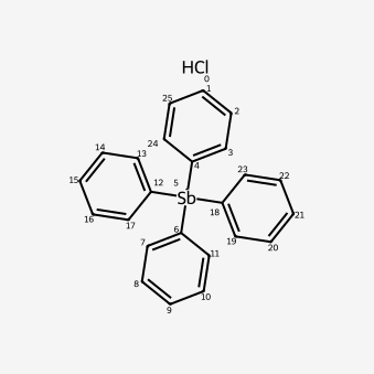 Cl.c1cc[c]([Sb]([c]2ccccc2)([c]2ccccc2)[c]2ccccc2)cc1